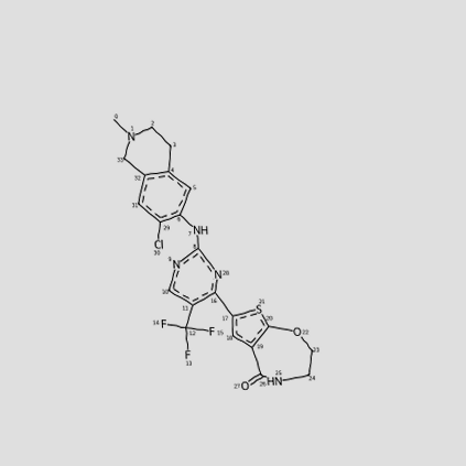 CN1CCc2cc(Nc3ncc(C(F)(F)F)c(-c4cc5c(s4)OCCNC5=O)n3)c(Cl)cc2C1